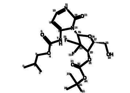 CC(C)COC(=O)Nc1ccnc(=O)n1[C@@H]1O[C@H](CO)[C@@H](OC(=O)OC(C)(C)C)C1(F)F